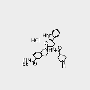 CCNC(=O)c1ccc2c(c1)CCN(C(=O)[C@@H](Cc1c[nH]c3ccccc13)NC(=O)C1CCNCC1)C2.Cl